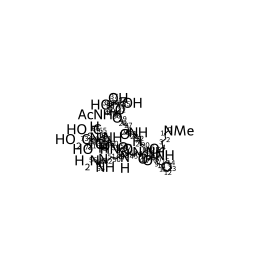 CNCCCCC(=O)N[C@@H](Cc1ccccc1)C(=O)N[C@@H](CCCCNC(=O)CCCO[C@@H]1OC(CO)[C@@H](O)[C@H](O)C1NC(C)=O)C(=O)NCC(=O)N[C@@H](CCCNC(=N)N)C(=O)NCC(=O)N[C@@H](CC(=O)O)C(=O)N[C@@H](CO)C(=O)O